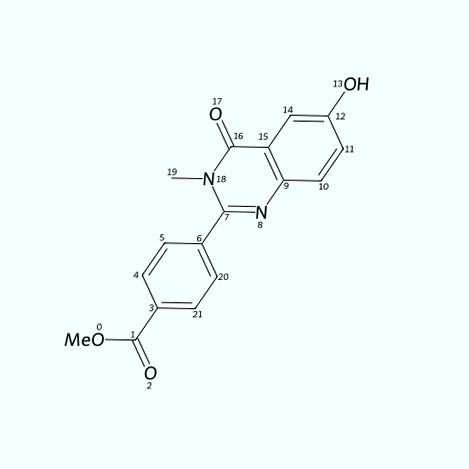 COC(=O)c1ccc(-c2nc3ccc(O)cc3c(=O)n2C)cc1